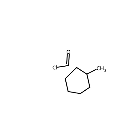 CC1CCCCC1.O=CCl